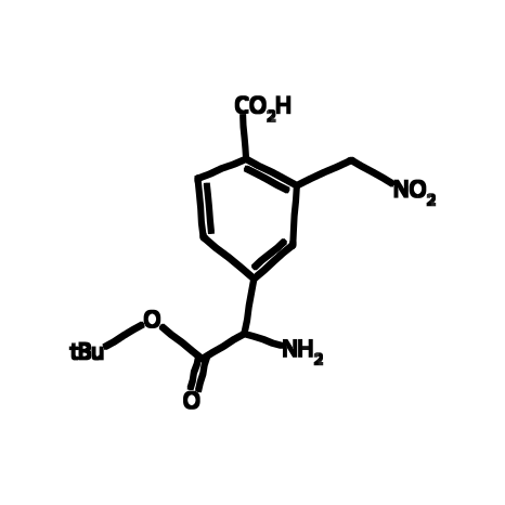 CC(C)(C)OC(=O)C(N)c1ccc(C(=O)O)c(C[N+](=O)[O-])c1